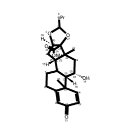 CCCC1O[C@@H]2C[C@H]3C4CCC5=CC(=O)C=CC5(C)[C@H]4[C@@H](O)CC3(C)C2(C(=O)OC)O1